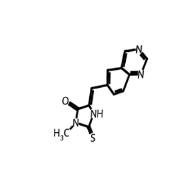 CN1C(=O)/C(=C/c2ccc3ncncc3c2)NC1=S